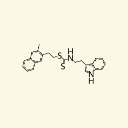 Cc1cc2ccccc2cc1CCSC(=S)NCCc1c[nH]c2ccccc12